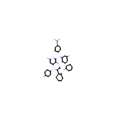 Cc1cc2c3c(n1)N(c1ccc(C(C)C(C)C)cc1)c1cc(C(C)(C)C)ccc1B3c1c(c3ccccc3n1-c1ccccc1)N2c1ccc(C(C)(C)C)cc1